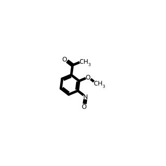 COc1c(N=O)cccc1C(C)=O